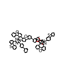 c1cccc(-c2ccc(-c3nc(C4=C(c5cccc6c5oc5ccc(-c7ccc8c(c7)sc7cccc(-c9cccc%10oc%11cccc(-c%12nc(-c%13ccccc%13)nc(-c%13ccc%14c(c%13)sc%13ccccc%13%14)n%12)c%11c9%10)c78)cc56)C=CC5Oc6ccccc6C45)nc(-c4cccc5sc6ccccc6c45)n3)cc2)c#1